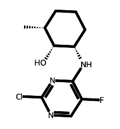 C[C@@H]1CCC[C@H](Nc2nc(Cl)ncc2F)[C@@H]1O